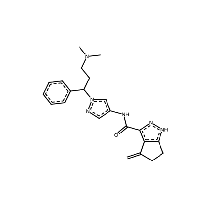 C=C1CCc2[nH]nc(C(=O)Nc3cnn(C(CCN(C)C)c4ccccc4)c3)c21